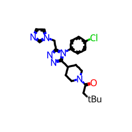 CC(C)(C)CC(=O)N1CCC(c2nnc(Cn3ccnc3)n2-c2ccc(Cl)cc2)CC1